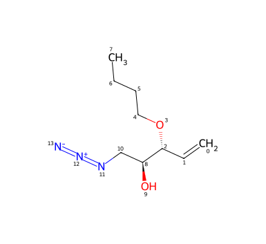 C=C[C@@H](OCCCC)[C@@H](O)CN=[N+]=[N-]